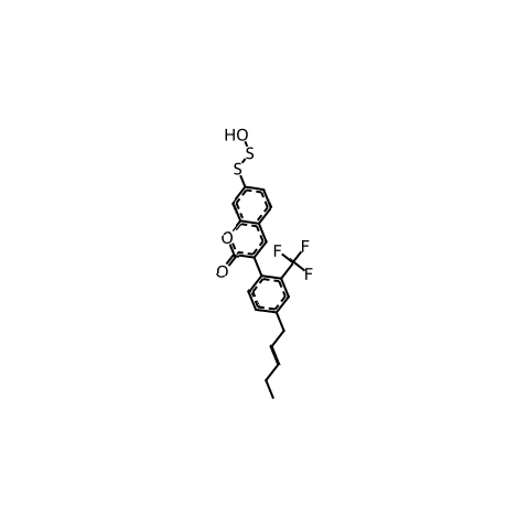 CCCCCc1ccc(-c2cc3ccc(SSO)cc3oc2=O)c(C(F)(F)F)c1